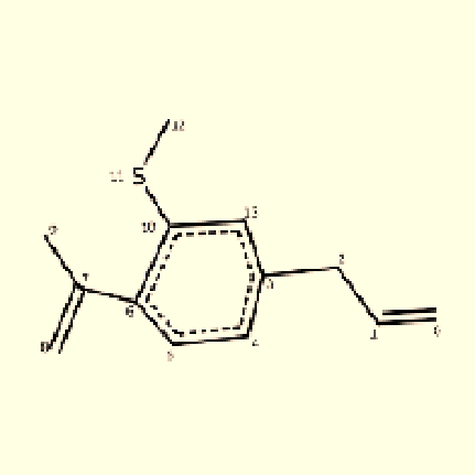 C=CCc1ccc(C(=C)C)c(SC)c1